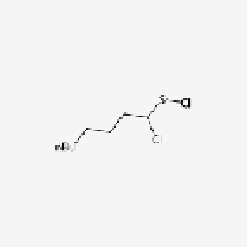 CCCCCCCC(Cl)SCl